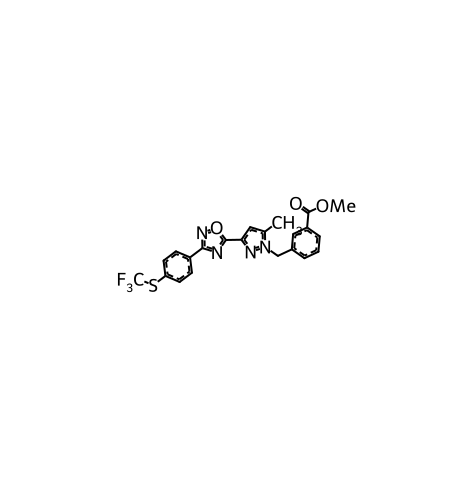 COC(=O)c1cccc(Cn2nc(-c3nc(-c4ccc(SC(F)(F)F)cc4)no3)cc2C)c1